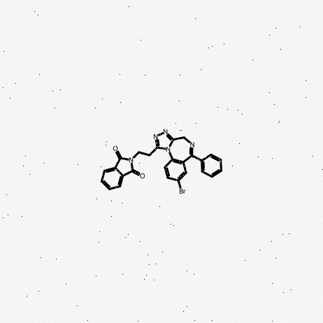 O=C1c2ccccc2C(=O)N1CCc1nnc2n1-c1ccc(Br)cc1C(c1ccccc1)=NC2